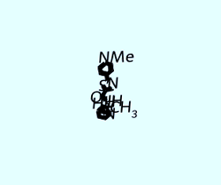 CNc1ccc(-c2ncc(C(=O)N[C@@H]3C4CCN(CC4)[C@H]3C)s2)cc1